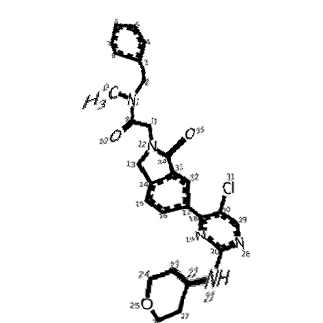 CN(Cc1ccccc1)C(=O)CN1Cc2ccc(-c3nc(NC4CCOCC4)ncc3Cl)cc2C1=O